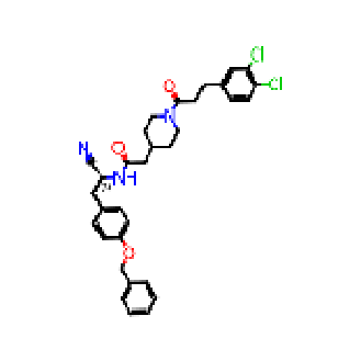 N#C[C@H](Cc1ccc(OCc2ccccc2)cc1)NC(=O)CC1CCN(C(=O)CCc2ccc(Cl)c(Cl)c2)CC1